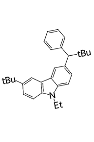 CCn1c2ccc(C(c3ccccc3)C(C)(C)C)cc2c2cc(C(C)(C)C)ccc21